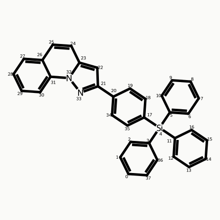 c1ccc([Si](c2ccccc2)(c2ccccc2)c2ccc(-c3cc4ccc5ccccc5n4n3)cc2)cc1